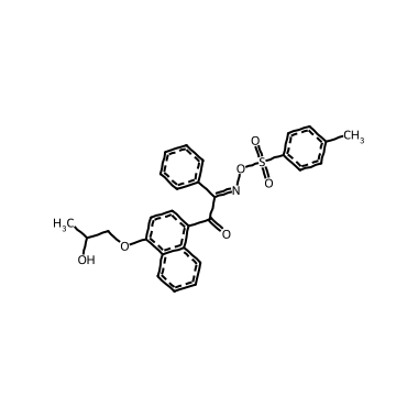 Cc1ccc(S(=O)(=O)O/N=C(/C(=O)c2ccc(OCC(C)O)c3ccccc23)c2ccccc2)cc1